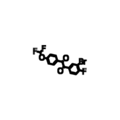 O=C(C(=O)c1ccc(F)c(Br)c1)c1ccc(OC(F)F)cc1